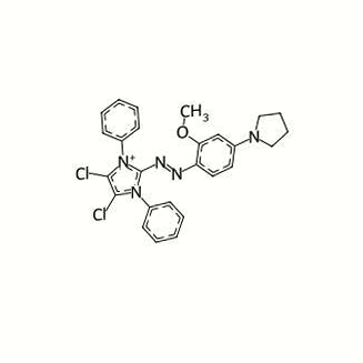 COc1cc(N2CCCC2)ccc1/N=N/c1n(-c2ccccc2)c(Cl)c(Cl)[n+]1-c1ccccc1